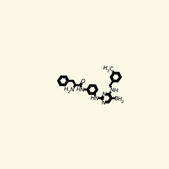 Bc1cnc(Nc2cccc(NC(=O)C(N)Cc3ccccc3)c2)nc1NCc1cccc(C)c1